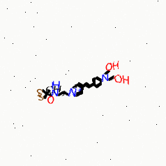 CC1(C(=O)NCCC[n+]2ccc(/C=C/c3ccc(N(CCO)CCO)cc3)cc2)CSSC1